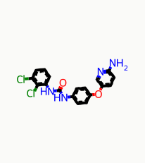 Nc1ccc(Oc2ccc(NC(=O)Nc3cccc(Cl)c3Cl)cc2)cn1